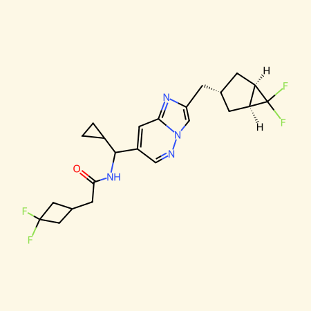 O=C(CC1CC(F)(F)C1)NC(c1cnn2cc(C[C@@H]3C[C@@H]4[C@H](C3)C4(F)F)nc2c1)C1CC1